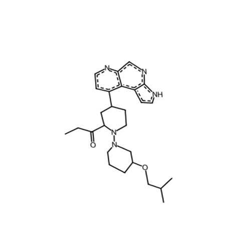 CCC(=O)C1CC(c2ccnc3cnc4[nH]ccc4c23)CCN1N1CCCC(OCC(C)C)C1